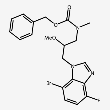 COC(CN(C)C(=O)OCc1ccccc1)Cn1cnc2c(F)ccc(Br)c21